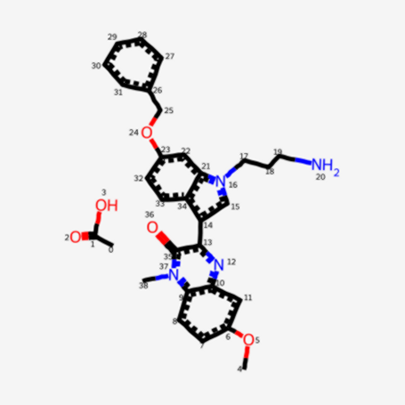 CC(=O)O.COc1ccc2c(c1)nc(-c1cn(CCCN)c3cc(OCc4ccccc4)ccc13)c(=O)n2C